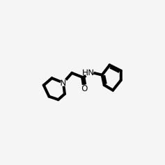 O=C(CN1CCCCC1)NC1=CCCC=C1